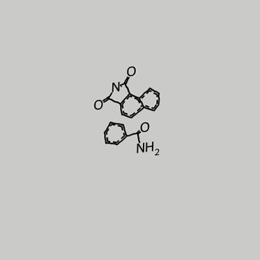 NC(=O)c1ccccc1.O=C1[N]C(=O)c2c1ccc1ccccc21